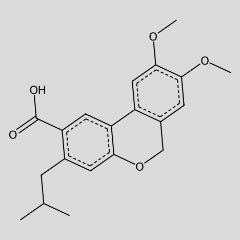 COc1cc2c(cc1OC)-c1cc(C(=O)O)c(CC(C)C)cc1OC2